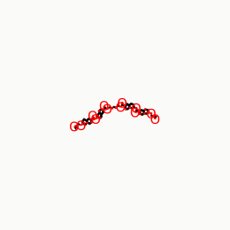 O=C(OCCCCCOC(=O)c1ccc2cc(OC(=O)c3ccc4cc(OCC5CO5)ccc4c3)ccc2c1)c1ccc2cc(OC(=O)c3ccc4cc(OCC5CO5)ccc4c3)ccc2c1